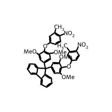 COc1cc(C2(c3cc(OC)c(Oc4ccc([N+](=O)[O-])c(C)c4)c(OC)c3)c3ccccc3-c3ccccc32)cc(OC)c1Oc1ccc([N+](=O)[O-])c(C)c1